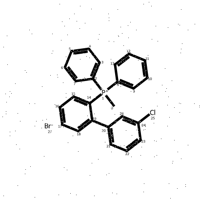 C[P+](c1ccccc1)(c1ccccc1)c1ccccc1-c1cccc(Cl)c1.[Br-]